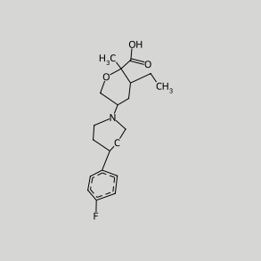 CCC1CC(N2CCC(c3ccc(F)cc3)CC2)COC1(C)C(=O)O